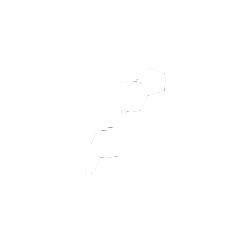 CC1=CC=C(N2CCN3CCCC3C2)CC1